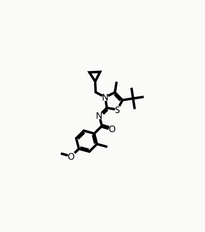 COc1ccc(C(=O)/N=c2\sc(C(C)(C)C)c(C)n2CC2CC2)c(C)c1